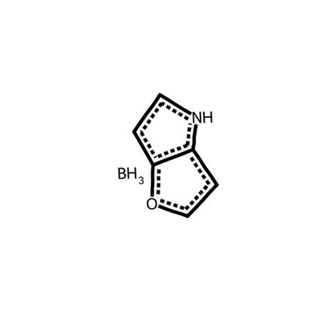 B.c1cc2occc2[nH]1